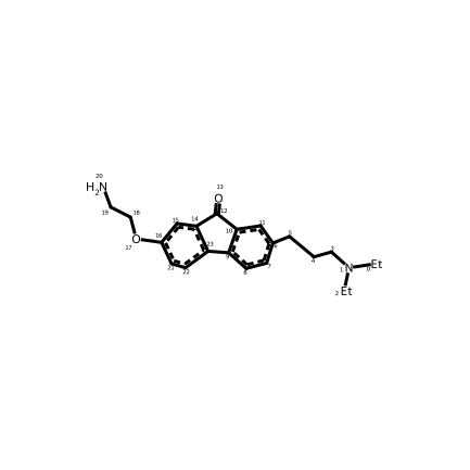 CCN(CC)CCCc1ccc2c(c1)C(=O)c1cc(OCCN)ccc1-2